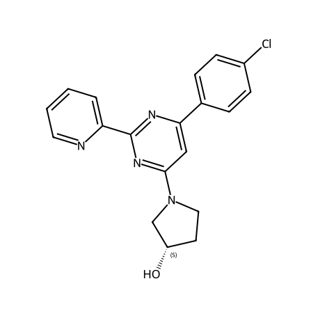 O[C@H]1CCN(c2cc(-c3ccc(Cl)cc3)nc(-c3ccccn3)n2)C1